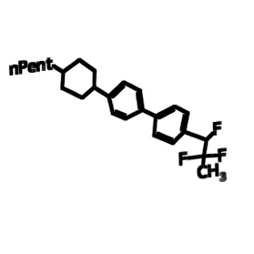 CCCCCC1CCC(c2ccc(-c3ccc(C(F)C(C)(F)F)cc3)cc2)CC1